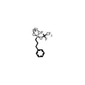 CCO[Si](CCCc1ccccc1)(OCC)OC(F)(F)C(F)(F)F